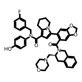 O=C(c1cc(-c2cc3c(cc2C(=O)N2Cc4ccccc4C[C@H]2CN2CCOCC2)OCO3)n2c1CCCC2)N(Cc1cccc(F)c1)c1ccc(O)cc1